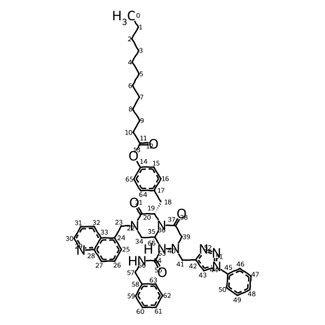 CCCCCCCCCCCC(=O)Oc1ccc(C[C@H]2C(=O)N(Cc3cccc4ncccc34)C[C@H]3N2C(=O)CN(Cc2cn(-c4ccccc4)nn2)N3C(=O)NCc2ccccc2)cc1